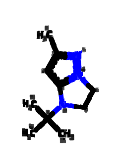 Cc1cc2n(n1)CCN2C(C)(C)C